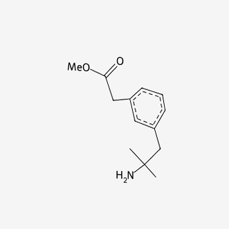 COC(=O)Cc1cccc(CC(C)(C)N)c1